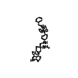 Cc1c[nH]c2ncnc(N3CCC(N)(CNc4ccc(S(=O)(=O)NCc5ccccc5)cc4)C3)c12